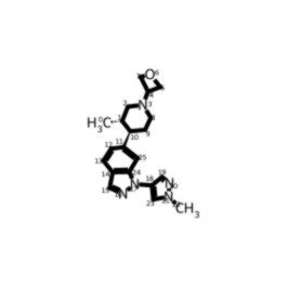 C[C@@H]1CN(C2COC2)CC[C@H]1c1ccc2cnn(-c3cnn(C)c3)c2c1